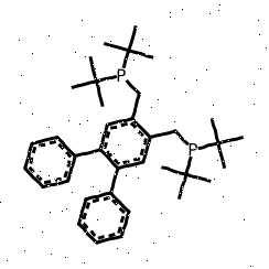 CC(C)(C)P(Cc1cc(-c2ccccc2)c(-c2ccccc2)cc1CP(C(C)(C)C)C(C)(C)C)C(C)(C)C